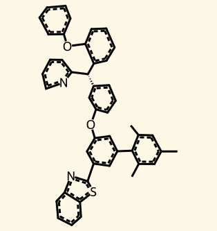 Cc1cc(C)c(-c2cc(Oc3cccc([C@H](c4ccccn4)c4ccccc4Oc4ccccc4)c3)cc(-c3nc4ccccc4s3)c2)c(C)c1